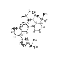 C[C@H]1COCCN1C(=O)C(Cc1c(-c2noc(C(F)(F)F)n2)cc[nH]c1=O)c1cccc(C(F)(F)F)c1